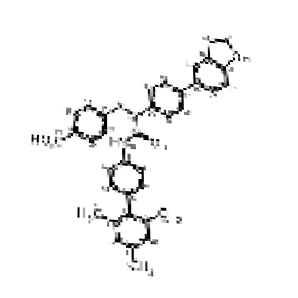 Cc1cc(C)c(-c2ccc(NC(=O)C(Cc3ccc(C(=O)O)cc3)c3ccc(-c4ccc5c(c4)CCO5)cc3)cc2)c(C)c1